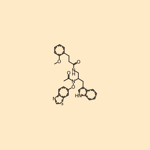 COc1ccccc1CCC(=O)NCC(Cc1c[nH]c2ccccc12)N(Oc1ccc2ncsc2c1)C(C)=O